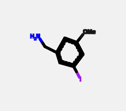 COc1cc(I)cc(CN)c1